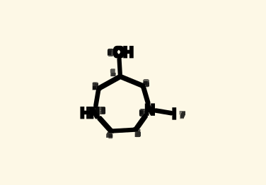 OC1CNCCN(I)C1